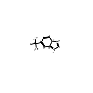 CCC(C)(CC)c1ccn2ncnc2c1